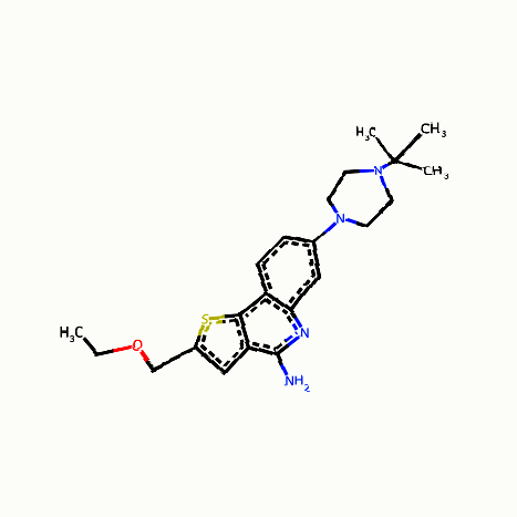 CCOCc1cc2c(N)nc3cc(N4CCN(C(C)(C)C)CC4)ccc3c2s1